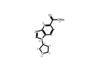 COC(=O)c1ccc2c(ncn2C2CCOC2)n1